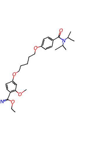 CCOC(=N)c1ccc(OCCCCCOc2ccc(C(=O)N(C(C)C)C(C)C)cc2)cc1OC